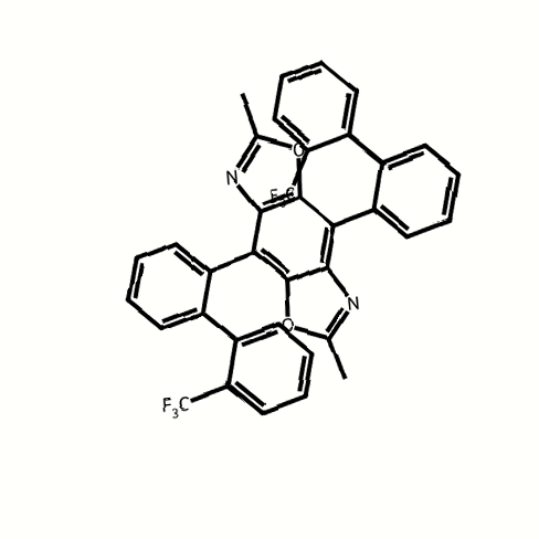 Cc1nc2c(-c3ccccc3-c3ccccc3C(F)(F)F)c3oc(C)nc3c(-c3ccccc3-c3ccccc3C(F)(F)F)c2o1